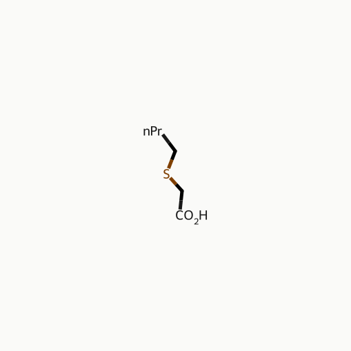 [CH2]CCCSCC(=O)O